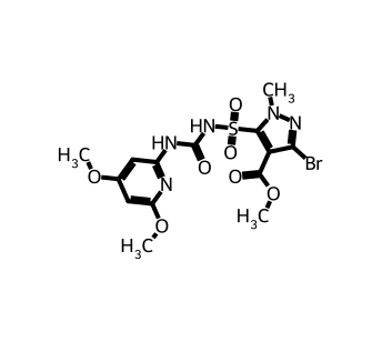 COC(=O)c1c(Br)nn(C)c1S(=O)(=O)NC(=O)Nc1cc(OC)cc(OC)n1